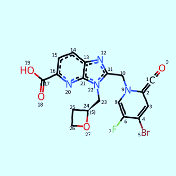 O=C=C1C=C(Br)C(F)=CN1Cc1nc2ccc(C(=O)O)nc2n1C[C@@H]1CCO1